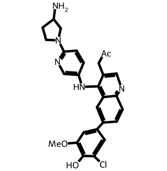 COc1cc(-c2ccc3ncc(CC(C)=O)c(Nc4ccc(N5CCC(N)C5)nc4)c3c2)cc(Cl)c1O